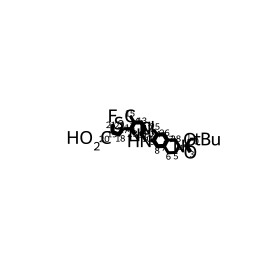 CC(C)(C)OC(=O)N1CCc2cc(Nc3ncc(C(F)(F)F)c(-c4cc(C(=O)O)cs4)n3)c(Cl)cc2C1